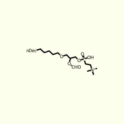 CCCCCCCCCCCCCCCOCC(COP(=O)(O)CC[N+](C)(C)C)OC=O